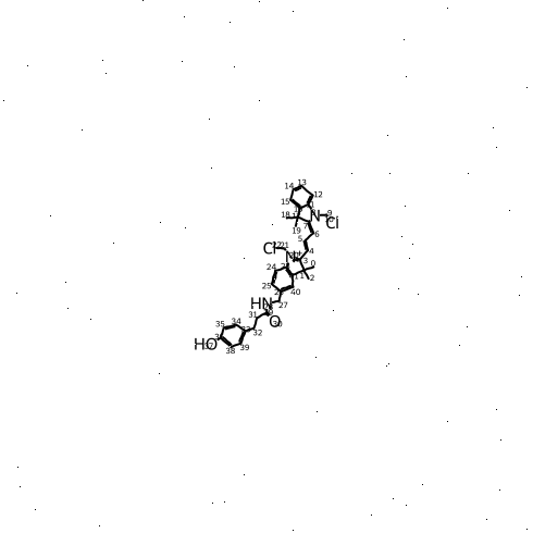 CC1(C)C(/C=C/C=C2/N(CCl)c3ccccc3C2(C)C)=[N+](CCl)c2ccc(CNC(=O)CCc3ccc(O)cc3)cc21